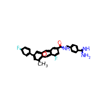 Cc1cc(-c2ccc(F)cc2)cc2c3oc(c12)c1c(F)cc(C(=O)NCc2ccc(C(=N)N)cc2)cc31